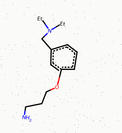 CCN(CC)Cc1cccc(OCCCN)c1